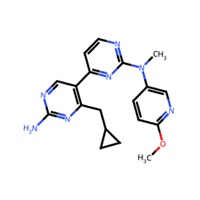 COc1ccc(N(C)c2nccc(-c3cnc(N)nc3CC3CC3)n2)cn1